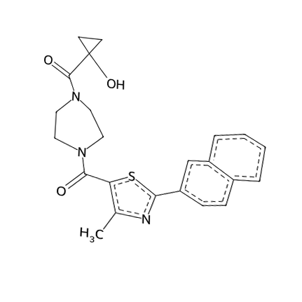 Cc1nc(-c2ccc3ccccc3c2)sc1C(=O)N1CCN(C(=O)C2(O)CC2)CC1